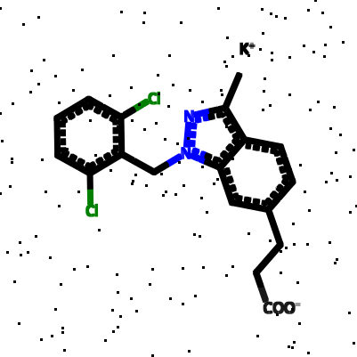 Cc1nn(Cc2c(Cl)cccc2Cl)c2cc(CCC(=O)[O-])ccc12.[K+]